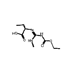 CCOC(=O)N/C(=N/C(CC)C(=O)O)NC